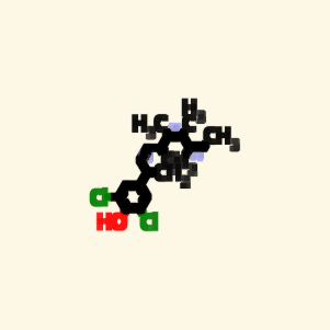 C=C(/C=C\C(=C)c1cc(Cl)c(O)c(Cl)c1)/C(C)=C(C)\C(=C/C)C(C)=O